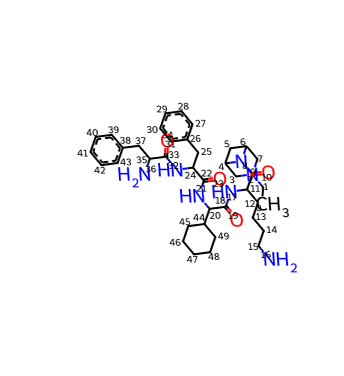 CCN1CC2CC(C1)N2C(=O)C(CCCCN)NC(=O)C(NC(=O)C(Cc1ccccc1)NC(=O)C(N)Cc1ccccc1)C1CCCCC1